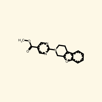 COC(=O)c1cnc(N2CCc3c(oc4ccccc34)C2)nc1